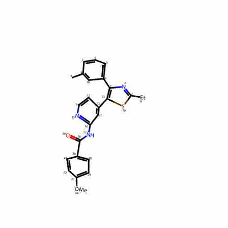 CCc1nc(-c2cccc(C)c2)c(-c2ccnc(NC(=O)c3ccc(OC)cc3)c2)s1